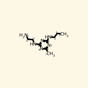 CCCNc1nc(C)nc(NCCN)n1